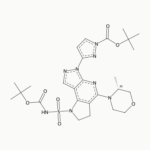 C[C@@H]1COCCN1c1nc2c(cnn2-c2ccn(C(=O)OC(C)(C)C)n2)c2c1CCN2S(=O)(=O)NC(=O)OC(C)(C)C